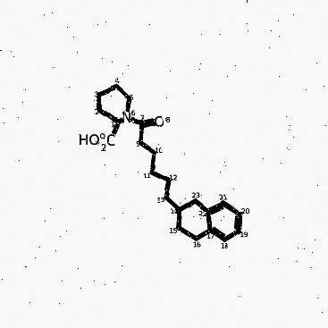 O=C(O)C1CCCCN1C(=O)CCCCCC1CCc2ccccc2C1